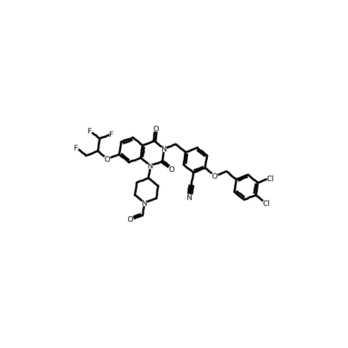 N#Cc1cc(Cn2c(=O)c3ccc(OC(CF)C(F)F)cc3n(C3CCN(C=O)CC3)c2=O)ccc1OCc1ccc(Cl)c(Cl)c1